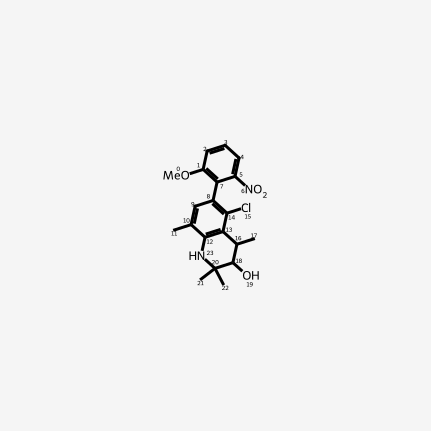 COc1cccc([N+](=O)[O-])c1-c1cc(C)c2c(c1Cl)C(C)C(O)C(C)(C)N2